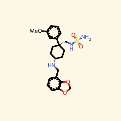 COc1cccc([C@]2(CNS(N)(=O)=O)CC[C@@H](NCc3cccc4c3OCO4)CC2)c1